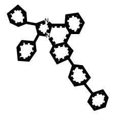 c1ccc(-c2ccc(-c3ccc4c(c3)c3ccccc3c3nc(-c5ccccc5)c(-c5ccccc5)n43)cc2)cc1